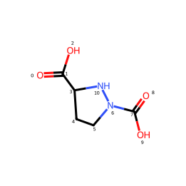 O=C(O)C1CCN(C(=O)O)N1